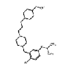 CC(C)Oc1ccc(Br)c(CC2CCN(CCCC3CCC(CO)CC3)CC2)c1